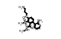 NCCC[S+]([O-])c1ccc(-c2cccnc2N)c(/C(N)=N/NN)c1S(N)(=O)=O